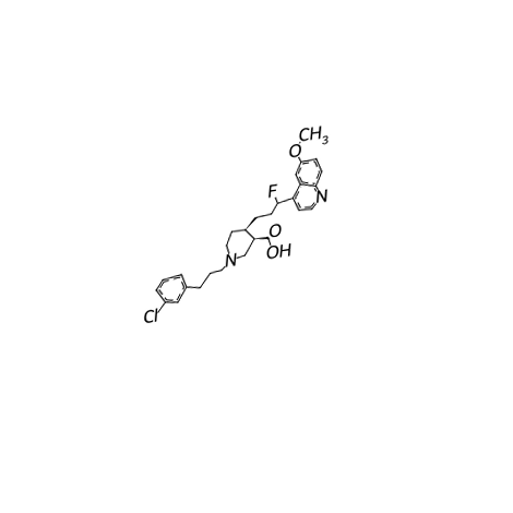 COc1ccc2nccc(C(F)CC[C@@H]3CCN(CCCc4cccc(Cl)c4)C[C@@H]3C(=O)O)c2c1